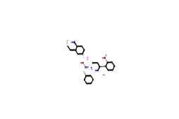 COc1nn([C@@H](Cc2ccccc2)C(=O)Nc2ccc3c(=O)[nH]ccc3c2)c(=O)cc1-c1cc(Cl)ccc1C(C)=O